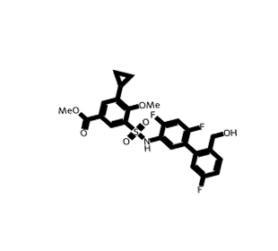 COC(=O)c1cc(C2CC2)c(OC)c(S(=O)(=O)Nc2cc(-c3cc(F)ccc3CO)c(F)cc2F)c1